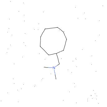 CN(C)CC1CC[CH]CCCCC1